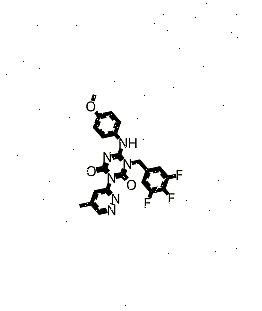 COc1ccc(Nc2nc(=O)n(-c3cc(C)cnn3)c(=O)n2Cc2cc(F)c(F)c(F)c2)cc1